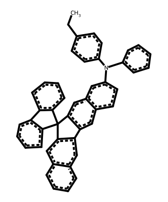 CCc1ccc(N(c2ccccc2)c2ccc3cc4c(cc3c2)C2(c3ccccc3-c3ccccc32)c2cc3ccccc3cc2-4)cc1